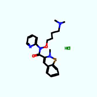 CN(C)CCCCON(C(=O)C1=Cc2ccccc2SN1C)c1ccccn1.Cl